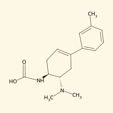 Cc1cccc(C2=CC[C@H](NC(=O)O)[C@@H](N(C)C)C2)c1